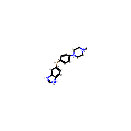 CN1CCN(c2ccc(Sc3ccc4[nH][c]nc4c3)cc2)CC1